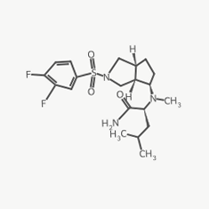 CC(C)C[C@@H](C(N)=O)N(C)[C@@H]1CC[C@H]2CN(S(=O)(=O)c3ccc(F)c(F)c3)C[C@H]21